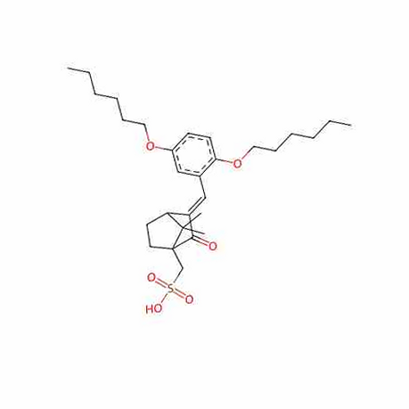 CCCCCCOc1ccc(OCCCCCC)c(C=C2C(=O)C3(CS(=O)(=O)O)CCC2C3(C)C)c1